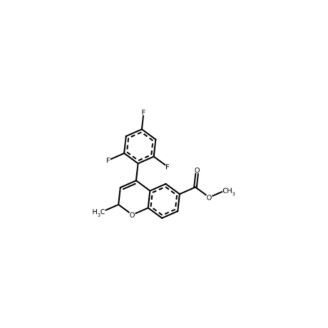 COC(=O)c1ccc2c(c1)C(c1c(F)cc(F)cc1F)=CC(C)O2